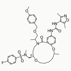 COc1ccc(COCC(C)N2CC[C@H](CN(C)S(=O)(=O)c3ccc(F)cc3)OCCCCC(C)Oc3ccc(NC(=O)Nc4c(C)noc4C)cc3C2=O)cc1